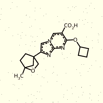 CC12CCC(c3cn4cc(C(=O)O)c(OC5CCC5)nc4n3)(CO1)C2